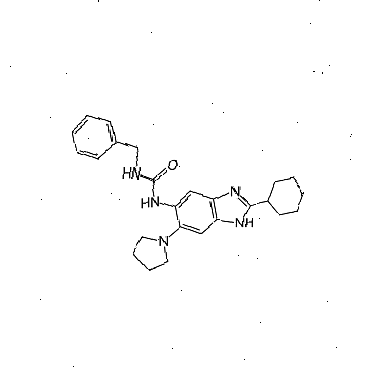 O=C(NCc1ccccc1)Nc1cc2nc(C3CCCCC3)[nH]c2cc1N1CCCC1